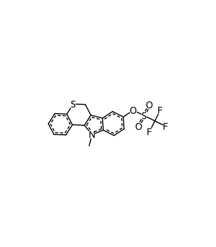 Cn1c2c(c3cc(OS(=O)(=O)C(F)(F)F)ccc31)CSc1ccccc1-2